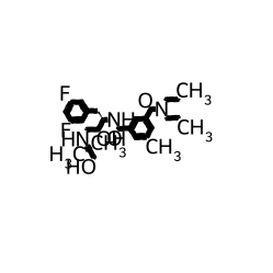 CCCN(CCC)C(=O)c1cc(C)cc(C(=O)N[C@@H](Cc2cc(F)cc(F)c2)[C@H](O)CNC(C)(C)CO)c1